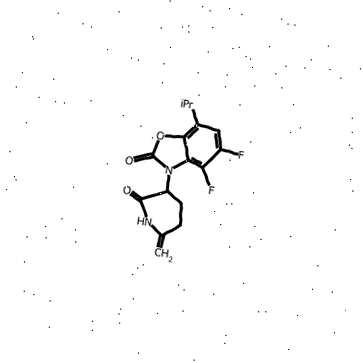 C=C1CCC(n2c(=O)oc3c(C(C)C)cc(F)c(F)c32)C(=O)N1